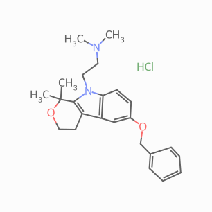 CN(C)CCn1c2c(c3cc(OCc4ccccc4)ccc31)CCOC2(C)C.Cl